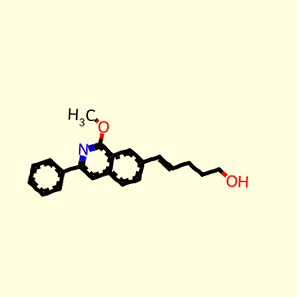 COc1nc(-c2ccccc2)cc2ccc(/C=C/CCCO)cc12